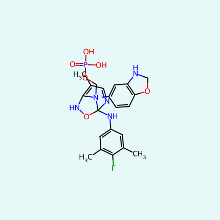 CC1=C2NOC(Nc3cc(C)c(F)c(C)c3)(N=C1)[N+]2(COP(=O)(O)O)c1ccc2c(c1)NCO2